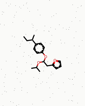 CCC(C)c1ccc(OC(Cc2ccco2)OC(C)C)cc1